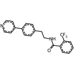 O=C(NCCc1ccc(-c2ccncc2)cc1)c1ccccc1C(F)(F)F